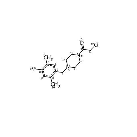 Cc1cc(CN2CCN(C(=O)CCl)CC2)c(C)cc1F